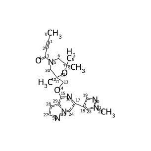 CC#CC(=O)N1CC(C)(C)O[C@@](C)(COc2nc(-c3cnn(C)c3)cn3nccc23)C1